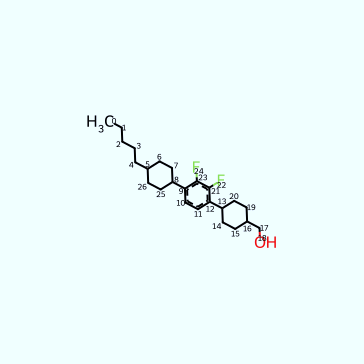 CCCCCC1CCC(c2ccc(C3CCC(CO)CC3)c(F)c2F)CC1